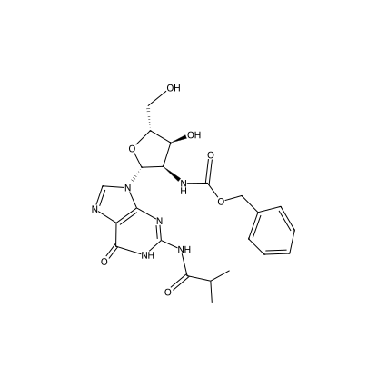 CC(C)C(=O)Nc1nc2c(ncn2[C@@H]2O[C@H](CO)[C@@H](O)[C@H]2NC(=O)OCc2ccccc2)c(=O)[nH]1